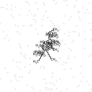 CCCCCCCCC(CN(CCCN(C)C(=O)CC(C)(O)CC(=O)N(C)CCCN(CC(CCCCCCCC)O[Si](C)(C)C(C)(C)C)CC(CCCCCCCC)O[Si](C)(C)C(C)(C)C)CC(CCCCCCCC)O[Si](C)(C)C(C)(C)C)O[Si](C)(C)C(C)(C)C